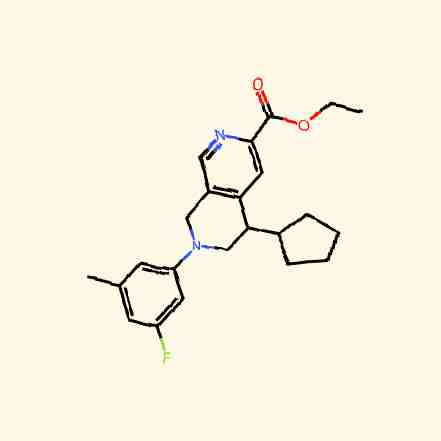 CCOC(=O)c1cc2c(cn1)CN(c1cc(C)cc(F)c1)CC2C1CCCC1